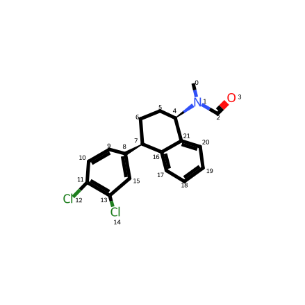 CN(C=O)[C@@H]1CC[C@H](c2ccc(Cl)c(Cl)c2)c2ccccc21